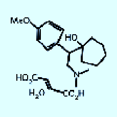 COc1ccc(C(CN(C)C)C2(O)CCCCC2)cc1.O.O=C(O)C=CC(=O)O